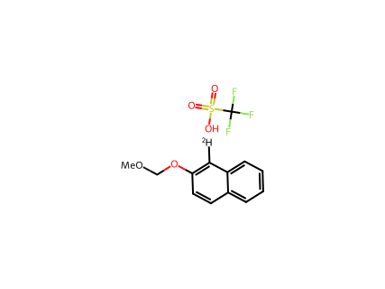 O=S(=O)(O)C(F)(F)F.[2H]c1c(OCOC)ccc2ccccc12